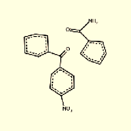 NC(=O)c1ccccc1.O=C(c1ccccc1)c1ccc([N+](=O)[O-])cc1